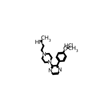 CNCCN1CCN(c2nccnc2-c2ccc(OC)cc2)CC1.Cl